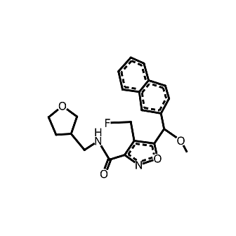 COC(c1ccc2ccccc2c1)c1onc(C(=O)NCC2CCOC2)c1CF